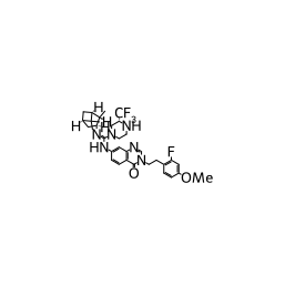 COc1ccc(CCn2cnc3cc(N/C(=N/[C@H]4C[C@H]5C[C@@H]([C@@H]4C)C5(C)C)N4CCN[C@@H](C(F)(F)F)C4)ccc3c2=O)c(F)c1